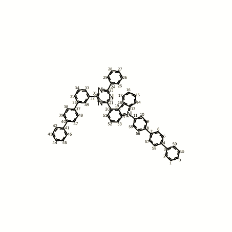 c1ccc(-c2ccc(-c3ccc(-n4c5ccccc5c5c(-c6nc(-c7ccccc7)nc(-c7cccc(-c8ccc(-c9ccccc9)cc8)c7)n6)cccc54)cc3)cc2)cc1